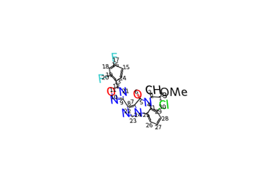 COCC(C)n1c(=O)c2c(-c3noc(-c4ccc(F)cc4F)n3)ncn2c2cccc(Cl)c21